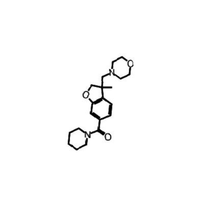 CC1(CN2CCOCC2)COc2cc(C(=O)N3CCCCC3)ccc21